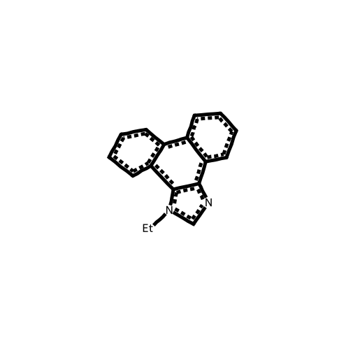 CCn1cnc2c3ccccc3c3ccccc3c21